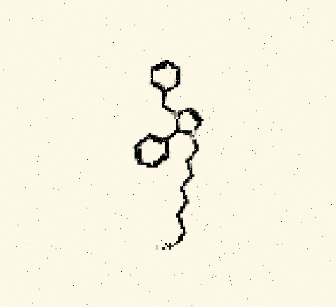 CCCCCCCCCCCCCCCCCN1C=CN(Cc2ccccc2)C1c1ccccc1